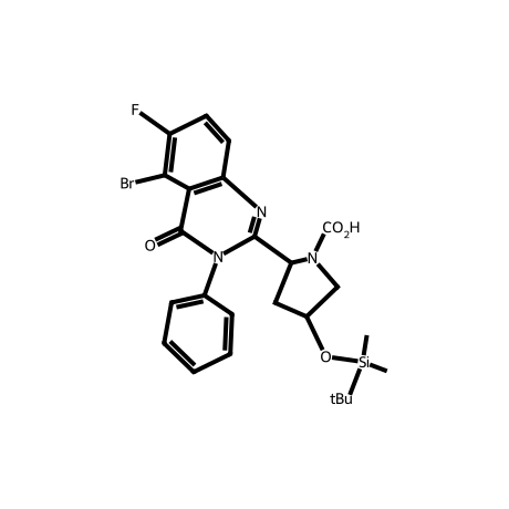 CC(C)(C)[Si](C)(C)OC1CC(c2nc3ccc(F)c(Br)c3c(=O)n2-c2ccccc2)N(C(=O)O)C1